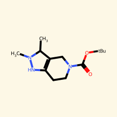 CC1C2=C(CCN(C(=O)OC(C)(C)C)C2)NN1C